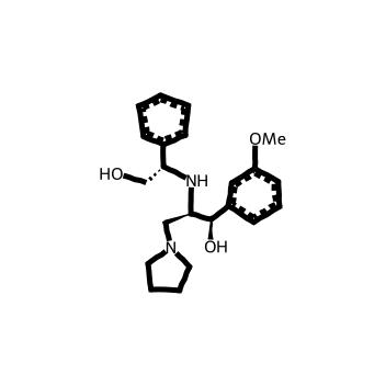 COc1cccc([C@@H](O)[C@@H](CN2CCCC2)N[C@H](CO)c2ccccc2)c1